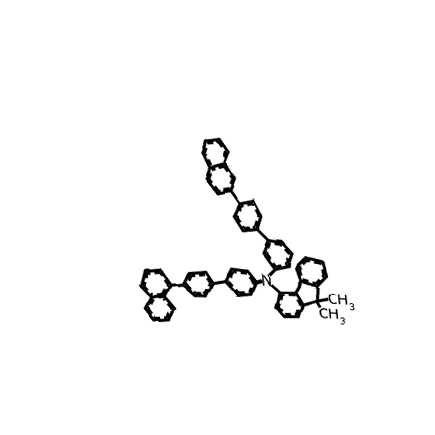 CC1(C)c2ccccc2-c2c(N(c3ccc(-c4ccc(-c5cccc6ccccc56)cc4)cc3)c3cccc(-c4ccc(-c5ccc6ccccc6c5)cc4)c3)cccc21